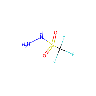 NNS(=O)(=O)C(F)(F)F